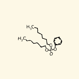 CCCCCCCOP(=O)(OCCCCCCC)Oc1ccccc1